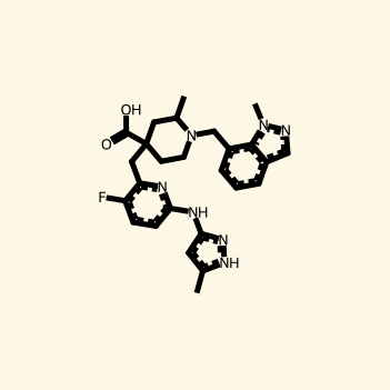 Cc1cc(Nc2ccc(F)c(CC3(C(=O)O)CCN(Cc4cccc5cnn(C)c45)C(C)C3)n2)n[nH]1